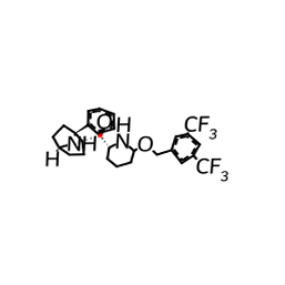 O=C([C@H]1CCCC(OCc2cc(C(F)(F)F)cc(C(F)(F)F)c2)N1)[C@@H]1CC[C@H]2CC[C@@]1(c1ccccc1)N2